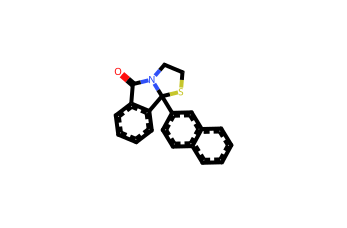 O=C1c2ccccc2C2(c3ccc4ccccc4c3)SCCN12